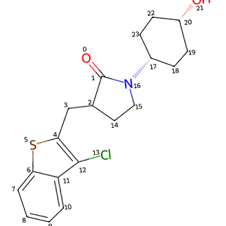 O=C1C(Cc2sc3ccccc3c2Cl)CCN1[C@H]1CC[C@@H](O)CC1